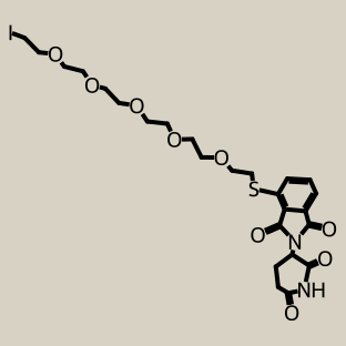 O=C1CCC(N2C(=O)c3cccc(SCCOCCOCCOCCOCCOCCI)c3C2=O)C(=O)N1